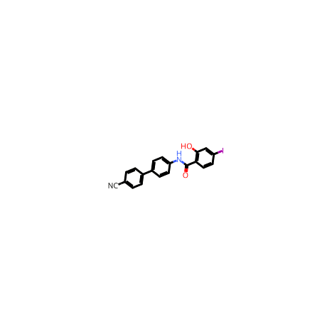 N#Cc1ccc(-c2ccc(NC(=O)c3ccc(I)cc3O)cc2)cc1